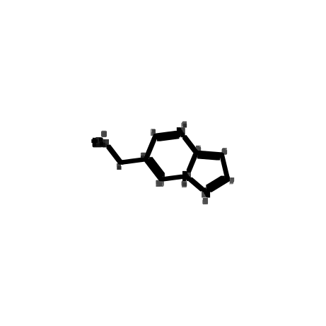 CC(C)(C)Cc1cnc2ccnn2c1